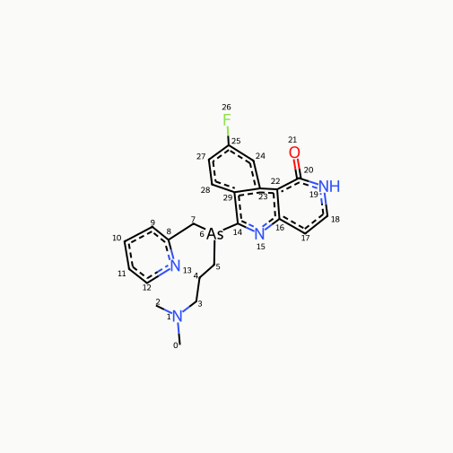 CN(C)CCC[As](Cc1ccccn1)c1nc2cc[nH]c(=O)c2c2cc(F)ccc12